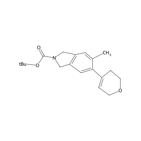 Cc1cc2c(cc1C1=CCOCC1)CN(C(=O)OC(C)(C)C)C2